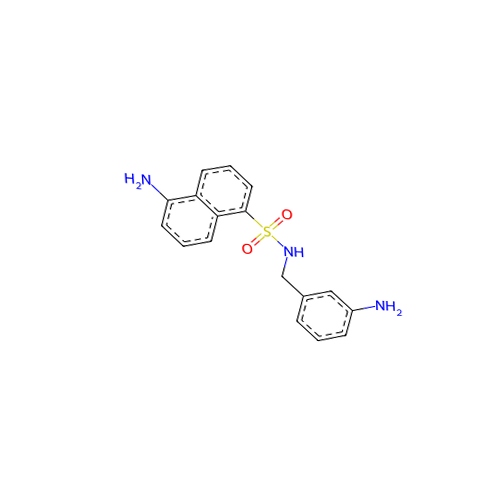 Nc1cccc(CNS(=O)(=O)c2cccc3c(N)cccc23)c1